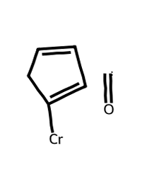 [C]=O.[Cr][C]1=CC=CC1